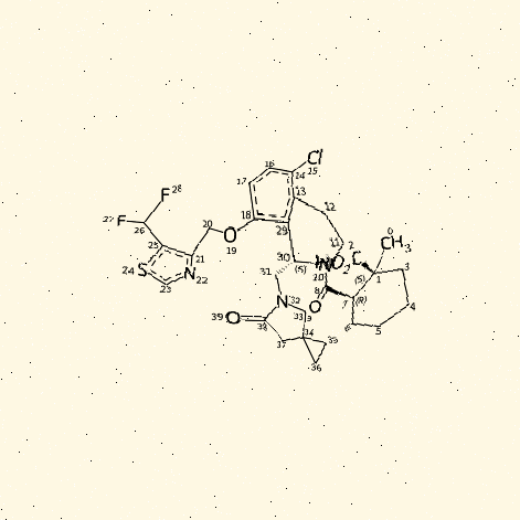 C[C@]1(C(=O)O)CCCC[C@H]1C(=O)N1CCc2c(Cl)ccc(OCc3ncsc3C(F)F)c2[C@H]1CN1CC2(CC2)CC1=O